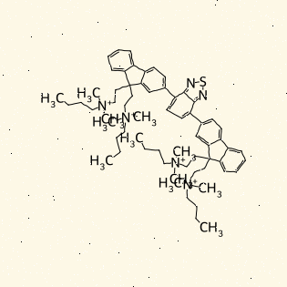 CCCC[N+](C)(C)CCC1(CC[N+](C)(C)CCCC)c2ccccc2-c2ccc(-c3ccc(-c4ccc5c(c4)C(CC[N+](C)(C)CCCC)(CC[N+](C)(C)CCCC)c4ccccc4-5)c4nsnc34)cc21